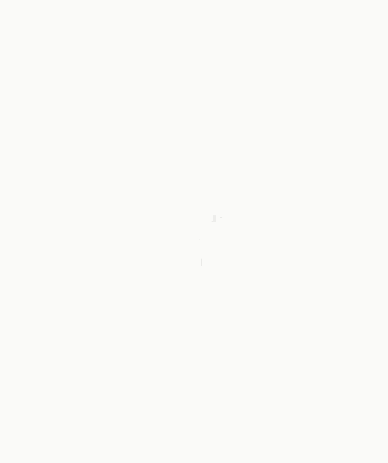 CCC(C=S)C(C)C